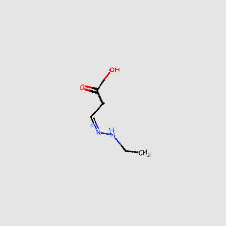 CCN/N=C\CC(=O)O